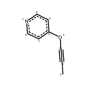 CC#COc1ccncc1